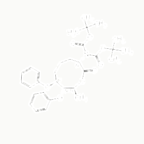 C[C@@H]1OC(=O)[C@@H](N(C(=O)OC(C)(C)C)C(=O)OC(C)(C)C)CCC[C@H](Oc2ccccc2)[C@H]1Oc1ccccc1